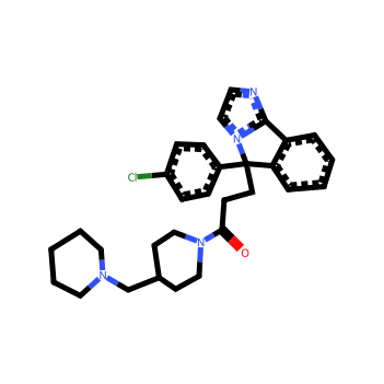 O=C(CCC1(c2ccc(Cl)cc2)c2ccccc2-c2nccn21)N1CCC(CN2CCCCC2)CC1